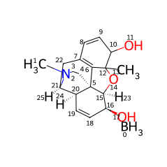 B.CN1CC[C@]23C4=C5C=CC(O)C4(C)O[C@H]2[C@@H](O)C=C[C@H]3[C@H]1C5